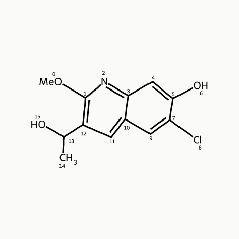 COc1nc2cc(O)c(Cl)cc2cc1C(C)O